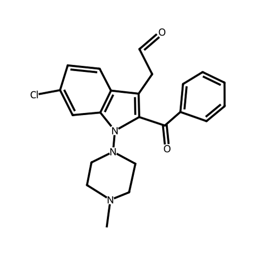 CN1CCN(n2c(C(=O)c3ccccc3)c(CC=O)c3ccc(Cl)cc32)CC1